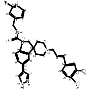 O=C(NCc1ccnc(F)c1)N1CC2(CCN(CC=Cc3ccc(Cl)c(Cl)c3)CC2)c2cc(-c3cn[nH]c3)ccc21